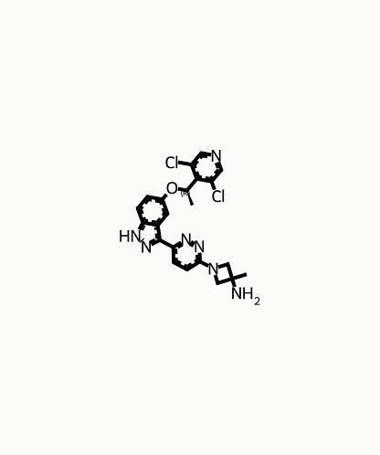 C[C@@H](Oc1ccc2[nH]nc(-c3ccc(N4CC(C)(N)C4)nn3)c2c1)c1c(Cl)cncc1Cl